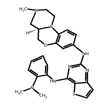 CN1CCN2c3ccc(Nc4nc(Nc5ccccc5N(C)C)c5sccc5n4)cc3OC[C@H]2C1